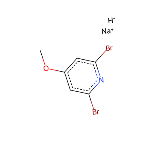 COc1cc(Br)nc(Br)c1.[H-].[Na+]